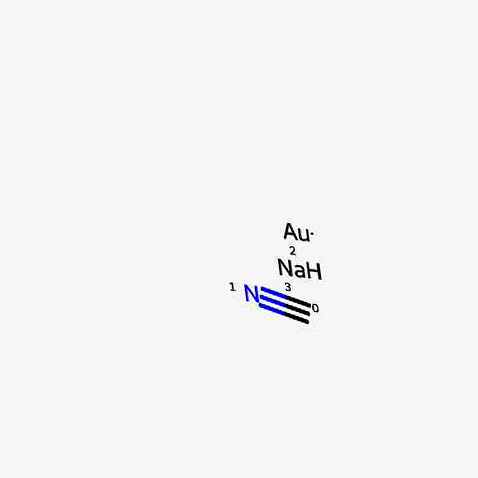 C#N.[Au].[NaH]